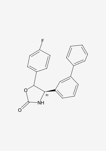 O=C1N[C@H](c2cccc(-c3ccccc3)c2)C(c2ccc(F)cc2)O1